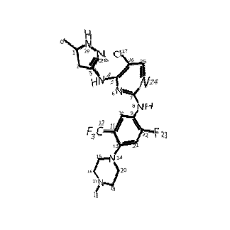 CC1CC(Nc2nc(Nc3cc(C(F)(F)F)c(N4CCN(C)CC4)cc3F)ncc2Cl)=NN1